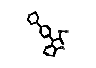 Cc1ccccc1C(C(=O)NO)c1ccc(N2CCOCC2)cc1